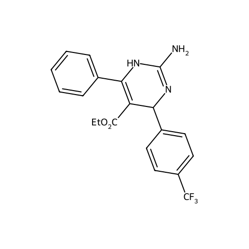 CCOC(=O)C1=C(c2ccccc2)NC(N)=NC1c1ccc(C(F)(F)F)cc1